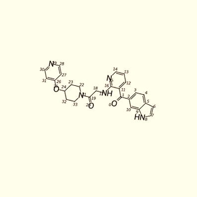 O=C(c1ccc2cc[nH]c2c1)c1cccnc1NCC(=O)N1CCC(Oc2ccncc2)CC1